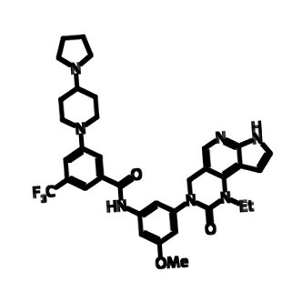 CCN1C(=O)N(c2cc(NC(=O)c3cc(N4CCC(N5CCCC5)CC4)cc(C(F)(F)F)c3)cc(OC)c2)Cc2cnc3[nH]ccc3c21